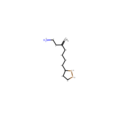 C=C(CCN)CCCCC1CCSS1